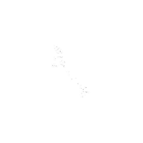 COc1cc(/C=C(\C#N)c2ccc3c(c2)OCO3)ccc1OCCCCCCCCCCCOC(=O)C(C)(CC(C)(C)C)C(C)(C)C